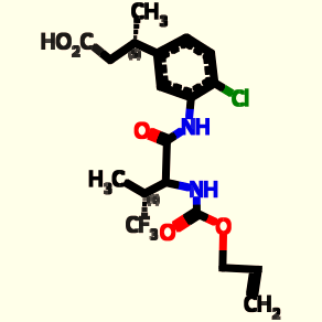 C=CCOC(=O)NC(C(=O)Nc1cc([C@@H](C)CC(=O)O)ccc1Cl)[C@@H](C)C(F)(F)F